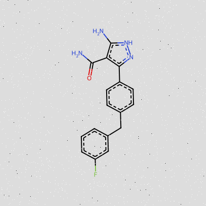 NC(=O)c1c(-c2ccc(Cc3cccc(F)c3)cc2)n[nH]c1N